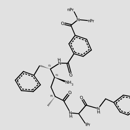 CCCN(CCC)C(=O)c1cccc(C(=O)N[C@@H](Cc2ccccc2)[C@@H](N)C[C@@H](C)C(=O)NC(C(=O)NCc2ccccc2)C(C)C)c1